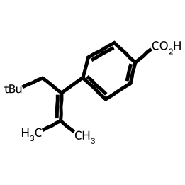 CC(C)=C(CC(C)(C)C)c1ccc(C(=O)O)cc1